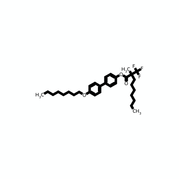 CCCCCCCCOc1ccc(-c2ccc(OC(=O)C(C)(CCCCCCC)C(F)(F)F)cc2)cc1